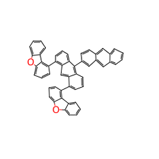 c1ccc2cc3cc(-c4c5cccc(-c6cccc7oc8ccccc8c67)c5cc5c(-c6cccc7oc8ccccc8c67)cccc45)ccc3cc2c1